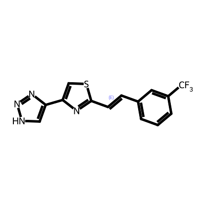 FC(F)(F)c1cccc(/C=C/c2nc(-c3c[nH]nn3)cs2)c1